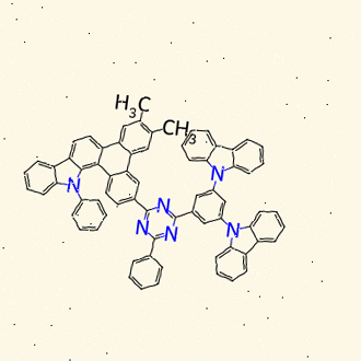 Cc1cc2c3cc(-c4nc(-c5ccccc5)nc(-c5cc(-n6c7ccccc7c7ccccc76)cc(-n6c7ccccc7c7ccccc76)c5)n4)ccc3c3c(ccc4c5ccccc5n(-c5ccccc5)c43)c2cc1C